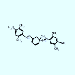 Cc1cc(/N=N/C2=CC=CC(C)(/N=N/c3cc(C)c(N)cc3N)C2)c(N)cc1N